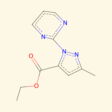 CCOC(=O)c1cc(C)nn1-c1ncccn1